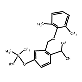 Cc1cccc(C)c1OCc1cc(O[Si](C)(C)C(C)(C)C)ccc1C(O)C#N